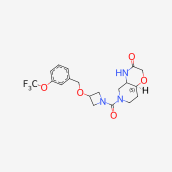 O=C1CO[C@H]2CCN(C(=O)N3CC(OCc4cccc(OC(F)(F)F)c4)C3)CC2N1